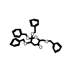 O=C1CC(OCc2ccccc2)C(OCc2ccccc2)(OCc2ccccc2)OC1COCc1ccccc1